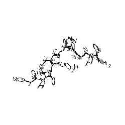 N#CCC(=O)NC1C(=O)N2C(C(=O)O)=C(CSc3nnnn3CCNC(N)=O)CS[C@H]12